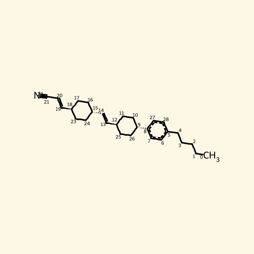 CCCCCc1ccc([C@H]2CC[C@H](C=C[C@H]3CC[C@H](C=CC#N)CC3)CC2)cc1